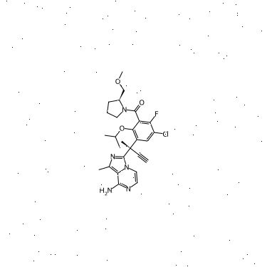 C#C[C@@](C)(c1cc(Cl)c(F)c(C(=O)N2CCC[C@H]2COC)c1OC(C)C)c1nc(C)c2c(N)nccn12